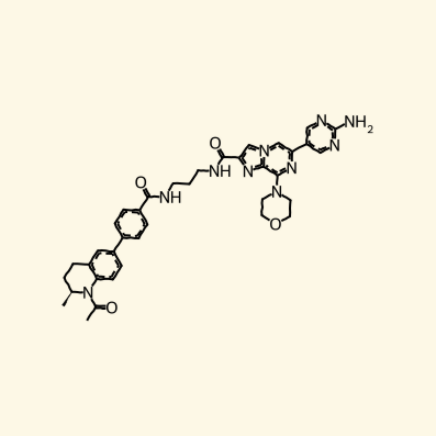 CC(=O)N1c2ccc(-c3ccc(C(=O)NCCCNC(=O)c4cn5cc(-c6cnc(N)nc6)nc(N6CCOCC6)c5n4)cc3)cc2CC[C@@H]1C